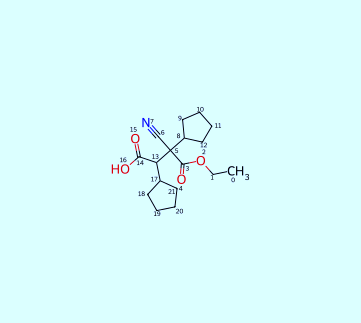 CCOC(=O)C(C#N)(C1CCCC1)C(C(=O)O)C1CCCC1